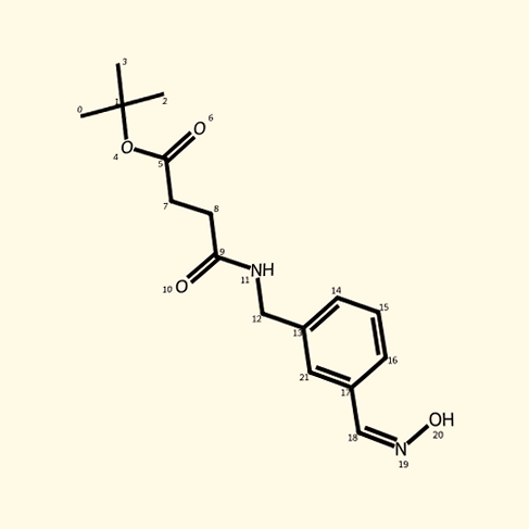 CC(C)(C)OC(=O)CCC(=O)NCc1cccc(/C=N\O)c1